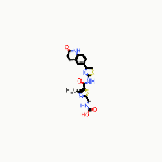 Cc1nc(CNC(=O)O)sc1C(=O)Nc1nc(-c2ccc3c(c2)CCC(=O)N3)cs1